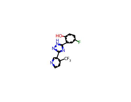 Oc1ccc(F)cc1-c1nc(-c2cnccc2C(F)(F)F)n[nH]1